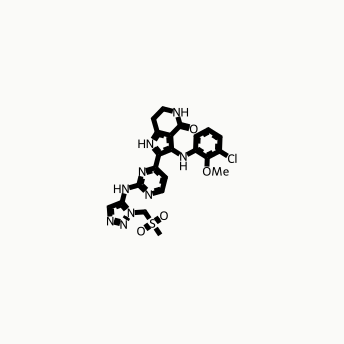 COc1c(Cl)cccc1Nc1c(-c2ccnc(Nc3cnnn3CS(C)(=O)=O)n2)[nH]c2c1C(=O)NCC2